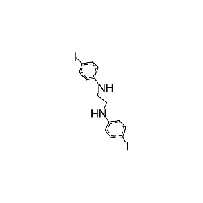 Ic1ccc(NCCNc2ccc(I)cc2)cc1